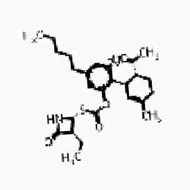 C=C(C)[C@@H]1CCC(C)=C[C@H]1c1c(O)cc(CCCCC)cc1OC(=O)S[C@H]1NC(=O)[C@@H]1CC